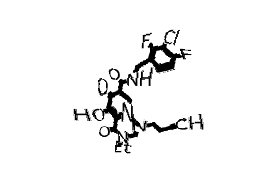 C#CCCN1CN(CC)C(=O)c2c(O)c(=O)c(C(=O)NCc3ccc(F)c(Cl)c3F)cn21